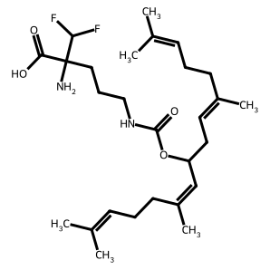 CC(C)=CCCC(C)=CCC(C=C(C)CCC=C(C)C)OC(=O)NCCCC(N)(C(=O)O)C(F)F